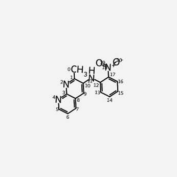 Cc1nc2ncccc2cc1Nc1ccccc1[N+](=O)[O-]